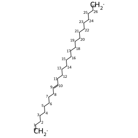 [CH2]CCCCCCCCC=CCCCCCCCCCCCCCCCC[CH2]